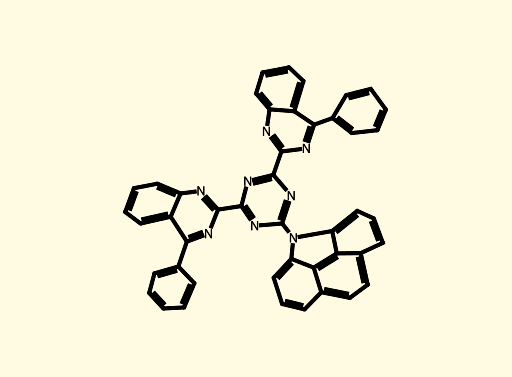 c1ccc(-c2nc(-c3nc(-c4nc(-c5ccccc5)c5ccccc5n4)nc(-n4c5cccc6ccc7cccc4c7c65)n3)nc3ccccc23)cc1